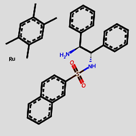 Cc1cc(C)c(C)cc1C.N[C@@H](c1ccccc1)[C@@H](NS(=O)(=O)c1ccc2ccccc2c1)c1ccccc1.[Ru]